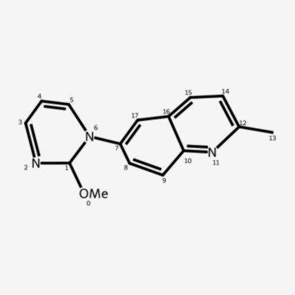 COC1N=CC=CN1c1ccc2nc(C)ccc2c1